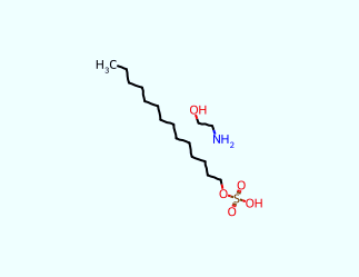 CCCCCCCCCCCCCCOS(=O)(=O)O.NCCO